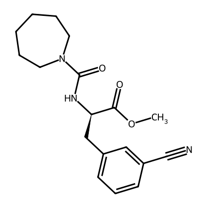 COC(=O)[C@@H](Cc1cccc(C#N)c1)NC(=O)N1CCCCCC1